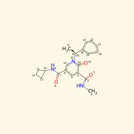 CNC(=O)c1cc(C(=O)NC2CCC2)cn([C@@H](C)c2ccccc2)c1=O